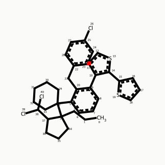 CCCC1(C2(c3cccc(-c4ccsc4-c4[c]ccs4)c3Cc3ccc(Cl)cc3)CCCCC2)CCCC1C(Cl)Cl